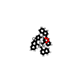 c1ccc(-c2nc(-c3cccc4ccccc34)nc(-c3c4ccccc4cc4oc5ccc(-n6c7cc8ccccc8cc7c7ccc8ccccc8c76)cc5c34)n2)cc1